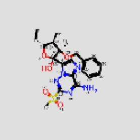 CC[C@H]1O[C@@](O)(c2cnc3c(N)nc(S(C)(=O)=O)nn23)[C@](C)(OCc2ccccc2)[C@@H]1C